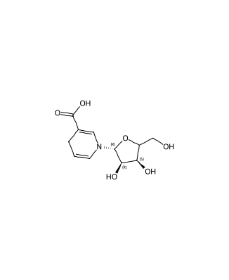 O=C(O)C1=CN([C@@H]2OC(CO)[C@@H](O)[C@H]2O)C=CC1